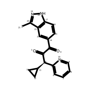 O=C(C(=O)[C@@H](c1ccccn1)C1CC1)c1ccc2[nH]nc(I)c2c1